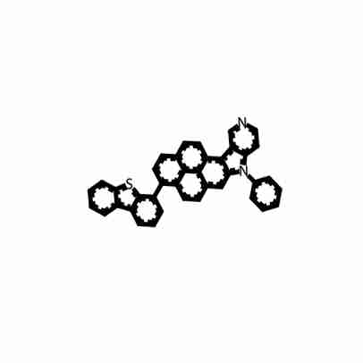 c1ccc(-n2c3ccncc3c3c4ccc5ccc(-c6cccc7c6sc6ccccc67)c6ccc(cc32)c4c56)cc1